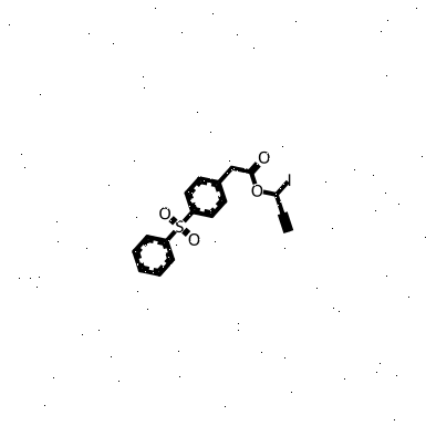 C#CC(I)OC(=O)Cc1ccc(S(=O)(=O)c2ccccc2)cc1